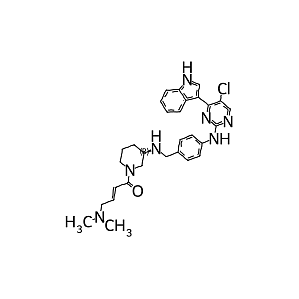 CN(C)CC=CC(=O)N1CCC[C@@H](NCc2ccc(Nc3ncc(Cl)c(-c4c[nH]c5ccccc45)n3)cc2)C1